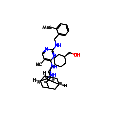 CSc1ccccc1CNc1ncc(C#N)c(NC[C@]23CC4C[C@H](C2)[C@@H](NC[C@H]2CC[C@H](CO)CC2)[C@@H](C4)C3)n1